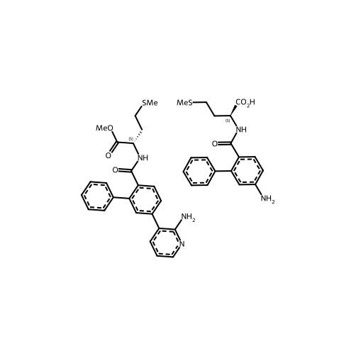 COC(=O)[C@H](CCSC)NC(=O)c1ccc(-c2cccnc2N)cc1-c1ccccc1.CSCC[C@H](NC(=O)c1ccc(N)cc1-c1ccccc1)C(=O)O